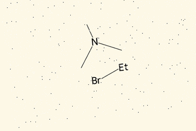 CCBr.CN(C)C